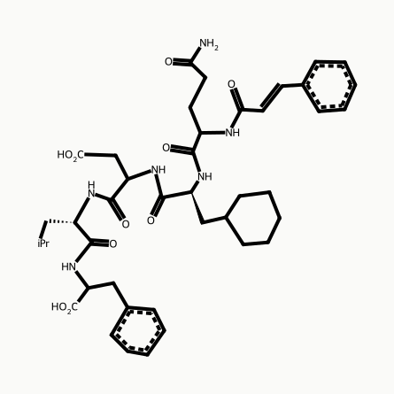 CC(C)C[C@H](NC(=O)C(CC(=O)O)NC(=O)[C@H](CC1CCCCC1)NC(=O)C(CCC(N)=O)NC(=O)/C=C/c1ccccc1)C(=O)NC(Cc1ccccc1)C(=O)O